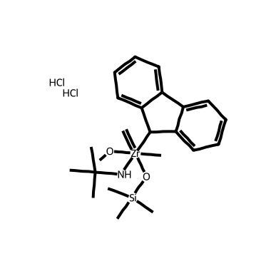 Cl.Cl.[CH2]=[Zr]([CH3])([NH]C(C)(C)C)([O]C)([O][Si](C)(C)C)[CH]1c2ccccc2-c2ccccc21